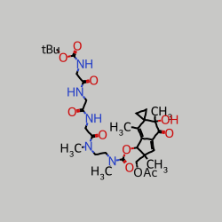 CC(=O)OCC1(C)C=C2C(=O)C(C)(O)C3(CC3)C(C)=C2C1OC(=O)N(C)CCN(C)C(=O)CNC(=O)CNC(=O)CNC(=O)OC(C)(C)C